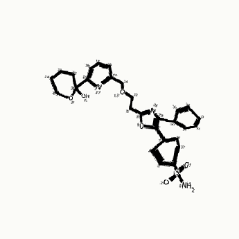 NS(=O)(=O)c1ccc(-c2oc(CCOCc3cccc(C4(O)CCCCO4)n3)nc2-c2ccccc2)cc1